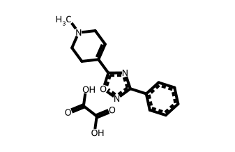 CN1CC=C(c2nc(-c3ccccc3)no2)CC1.O=C(O)C(=O)O